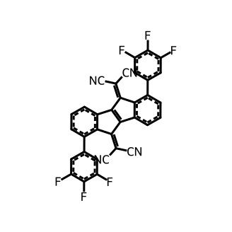 N#CC(C#N)=C1C2=C(C(=C(C#N)C#N)c3c2cccc3-c2cc(F)c(F)c(F)c2)c2cccc(-c3cc(F)c(F)c(F)c3)c21